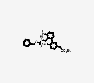 CCOC(=O)Cc1ccc(OC)c(-c2cccc(N)c2CN(CC)C(=O)OCc2ccccc2)c1